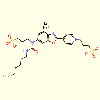 O=C([O-])CCCCCNC(=O)N(CCCS(=O)(=O)[O-])c1ccc2nc(-c3cc[n+](CCCS(=O)(=O)[O-])cc3)oc2c1.[Na+].[Na+]